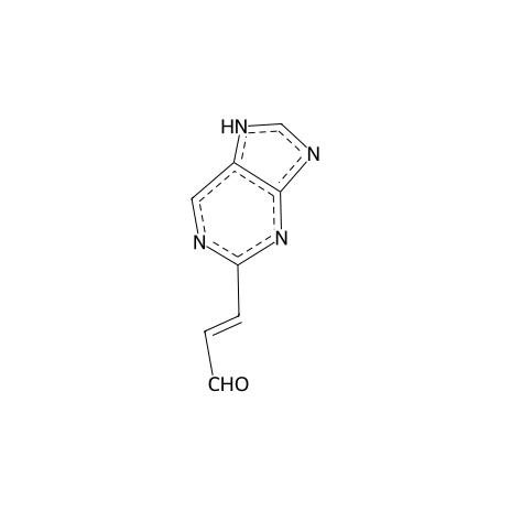 O=CC=Cc1ncc2[nH]cnc2n1